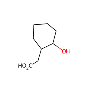 O=C(O)CC1CCCCC1O